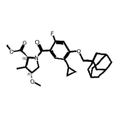 COC(=O)[C@@H]1C(C)[C@@H](OC)CN1C(=O)c1cc(C2CC2)c(OCC23CC4CC(CC(C4)C2)C3)cc1F